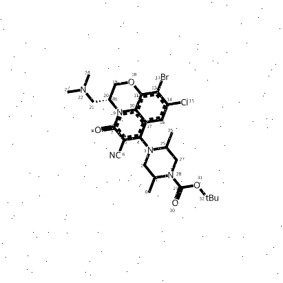 CC1CN(c2c(C#N)c(=O)n3c4c(c(Br)c(Cl)cc24)OC[C@H]3CN(C)C)C(C)CN1C(=O)OC(C)(C)C